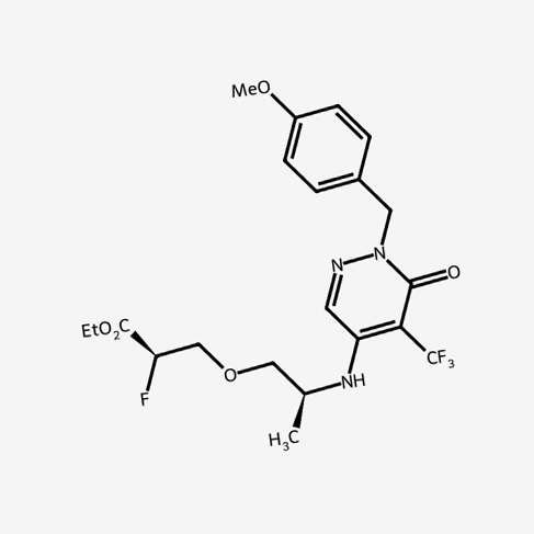 CCOC(=O)[C@H](F)COC[C@H](C)Nc1cnn(Cc2ccc(OC)cc2)c(=O)c1C(F)(F)F